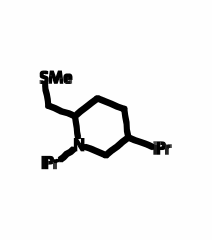 CSCC1CCC(C(C)C)CN1C(C)C